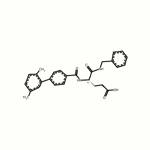 Cc1ccc(C)c(-c2ccc(C(=O)N[C@@H](CCC(=O)O)C(=O)NCc3ccccc3)cc2)c1